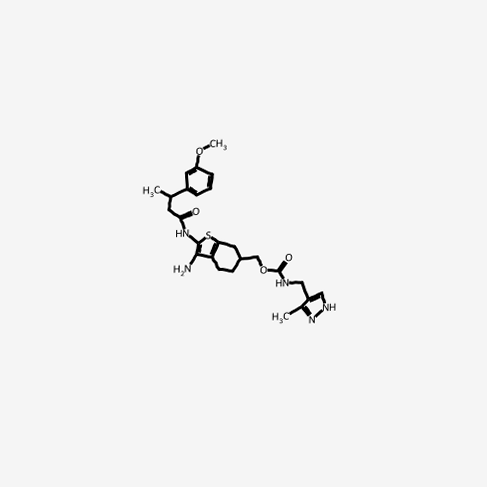 COc1cccc(C(C)CC(=O)Nc2sc3c(c2N)CCC(COC(=O)NCc2c[nH]nc2C)C3)c1